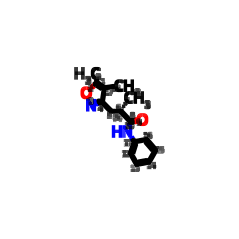 Cc1onc(C[C@H](C)C(=O)Nc2ccccc2)c1C